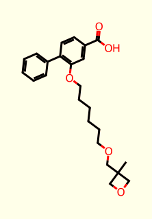 CC1(COCCCCCCOc2cc(C(=O)O)ccc2-c2ccccc2)COC1